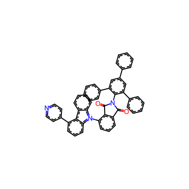 O=C1c2cccc(-n3c4ccccc4c4c(-c5ccncc5)cccc43)c2C(=O)N1c1c(-c2ccccc2)cc(-c2ccccc2)cc1-c1ccccc1